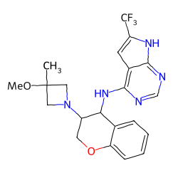 COC1(C)CN(C2COc3ccccc3C2Nc2ncnc3[nH]c(C(F)(F)F)cc23)C1